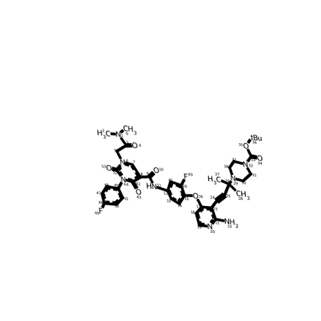 CN(C)C(=O)Cn1cc(C(=O)Nc2ccc(Oc3ccnc(N)c3C#CC(C)(C)N3CCN(C(=O)OC(C)(C)C)CC3)c(F)c2)c(=O)n(-c2ccc(F)cc2)c1=O